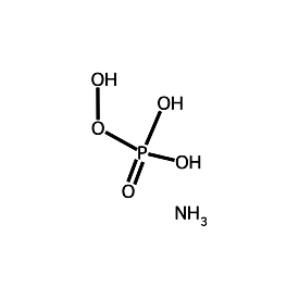 N.O=P(O)(O)OO